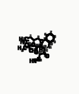 CCCCOc1ccccc1C[C@@H](NC(=O)OC(C)(C)C)C(=O)CN=N